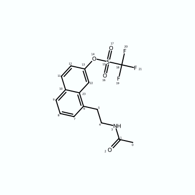 CC(=O)NCCc1cccc2ccc(OS(=O)(=O)C(F)(F)F)cc12